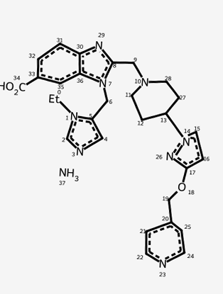 CCn1cncc1Cn1c(CN2CCC(n3ccc(OCc4ccncc4)n3)CC2)nc2ccc(C(=O)O)cc21.N